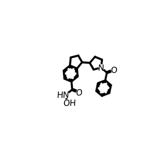 O=C(NO)c1ccc2c(c1)C(C1CCN(C(=O)c3ccccc3)C1)CC2